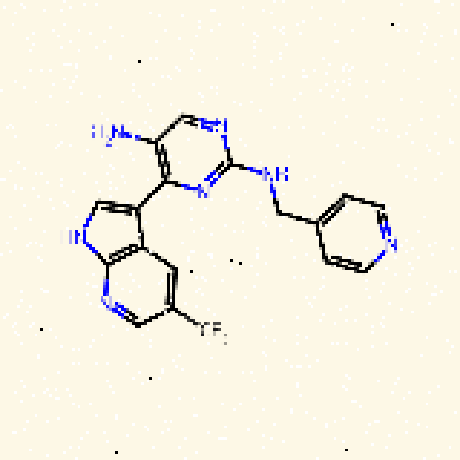 Nc1cnc(NCc2ccncc2)nc1-c1c[nH]c2ncc(C(F)(F)F)cc12